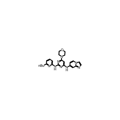 CCCCc1cccc(Nc2nc(Nc3ccn4ccnc4c3)cc(N3CCOCC3)n2)n1